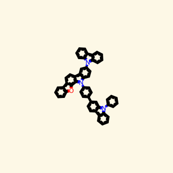 c1ccc(-n2c3ccccc3c3ccc(-c4ccc(-n5c6ccc(-n7c8ccccc8c8ccccc87)cc6c6ccc7c8ccccc8oc7c65)cc4)cc32)cc1